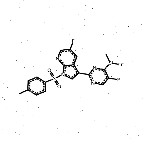 Cc1ccc(S(=O)(=O)n2cc(-c3ncc(F)c([S+](C)[O-])n3)c3cc(F)cnc32)cc1